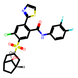 C[C@@]1(O)C2CC[C@H]1C[C@H](S(=O)(=O)c1cc(C(=O)Nc3ccc(F)c(F)c3)c(-c3nccs3)cc1Cl)C2